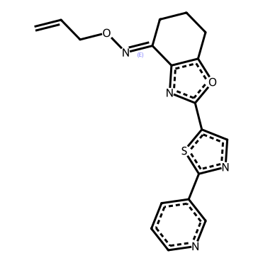 C=CCO/N=C1\CCCc2oc(-c3cnc(-c4cccnc4)s3)nc21